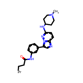 CC(C)CCC(=O)Nc1cccc(-c2cnc3ccc(NC4CCN(C)CC4)nn23)c1